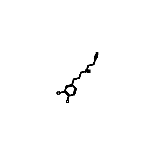 N#CCCNCCCc1ccc(Cl)c(Cl)c1